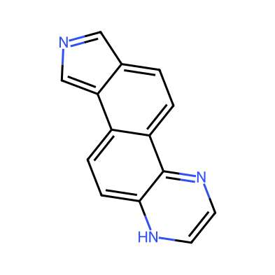 c1c[nH]c2ccc3c4cncc4ccc3c2n1